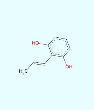 CC=Cc1c(O)cccc1O